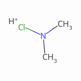 CN(C)Cl.[H+]